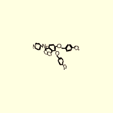 COc1ccc(COc2ccc(C(=O)Nc3ccncc3)c(Cl)c2OCc2ccc(OC)cc2)cc1